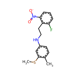 CSc1cc(NCCc2c(F)cccc2[N+](=O)[O-])ccc1C